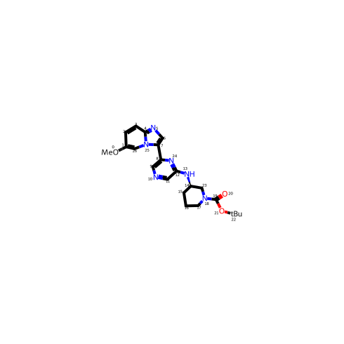 COc1ccc2ncc(-c3cncc(N[C@@H]4CCCN(C(=O)OC(C)(C)C)C4)n3)n2c1